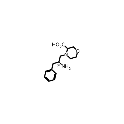 N[C@@H](Cc1ccccc1)CN1CCOCC1C(=O)O